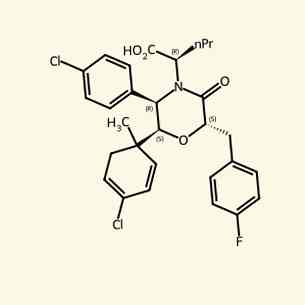 CCC[C@H](C(=O)O)N1C(=O)[C@H](Cc2ccc(F)cc2)O[C@@H](C2(C)C=CC(Cl)=CC2)[C@H]1c1ccc(Cl)cc1